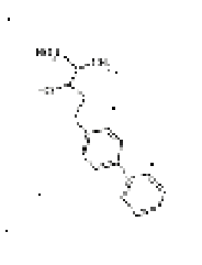 CC(C(=O)O)C(O)CCc1ccc(-c2ccccc2)cc1